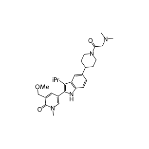 COCc1cc(-c2[nH]c3ccc(C4CCN(C(=O)CN(C)C)CC4)cc3c2C(C)C)cn(C)c1=O